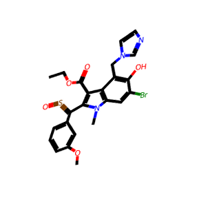 CCOC(=O)c1c(C(=S=O)c2cccc(OC)c2)n(C)c2cc(Br)c(O)c(Cn3ccnc3)c12